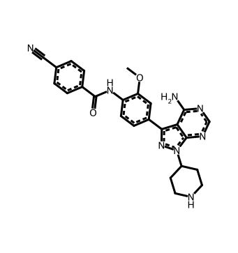 COc1cc(-c2nn(C3CCNCC3)c3ncnc(N)c23)ccc1NC(=O)c1ccc(C#N)cc1